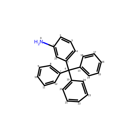 Nc1cccc(C(c2ccccc2)(c2ccccc2)c2ccccc2)c1